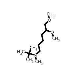 COCC(CCCCN(C)C(C)(C)C)OC